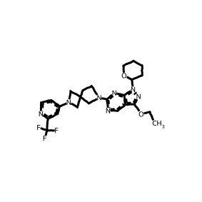 CCOc1nn(C2CCCCO2)c2nc(N3CCC4(CN(c5ccnc(C(F)(F)F)c5)C4)C3)ncc12